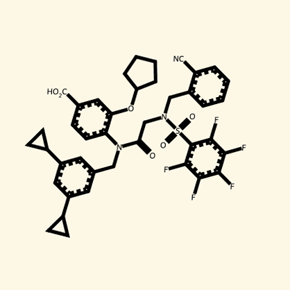 N#Cc1ccccc1CN(CC(=O)N(Cc1cc(C2CC2)cc(C2CC2)c1)c1ccc(C(=O)O)cc1OC1CCCC1)S(=O)(=O)c1c(F)c(F)c(F)c(F)c1F